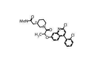 CNC(=O)C[C@H]1CCCN(C(=O)C(C)Oc2ccc3c(-c4ccccc4Cl)cc(Cl)nc3c2)C1